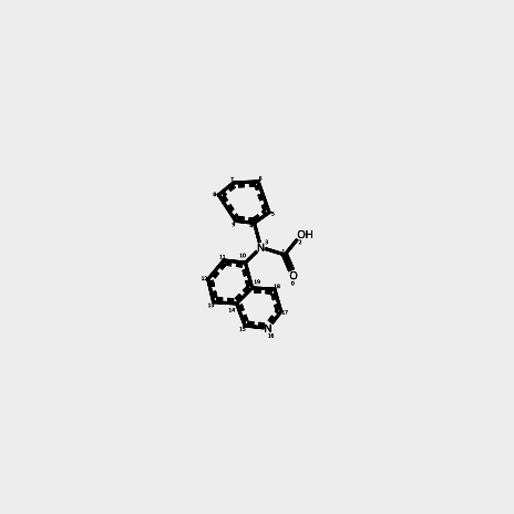 O=C(O)N(c1ccccc1)c1cccc2cnccc12